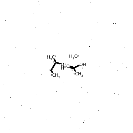 CC(=O)O.CCC(C)O.O